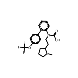 CN1CCCC1CCN(C(=O)O)c1ccccc1-c1ccc(OC(F)(F)F)cc1